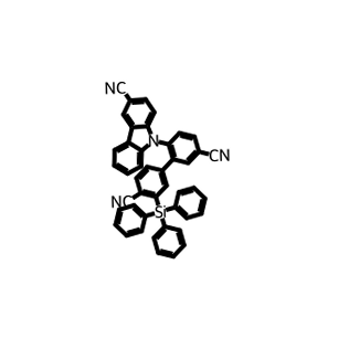 N#Cc1ccc(-n2c3ccccc3c3cc(C#N)ccc32)c(-c2ccc(C#N)c([Si](c3ccccc3)(c3ccccc3)c3ccccc3)c2)c1